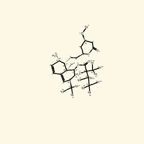 [2H]O[C@H]1CC(=O)OC(CC[C@@H]2[C@@H]3C(=C[C@H](C([2H])([2H])[2H])C[C@@H]3OC(=O)C(C)(C([2H])([2H])[2H])C([2H])([2H])C([2H])([2H])[2H])C=C[C@@H]2C)C1